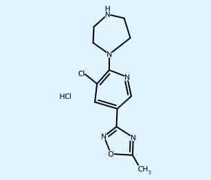 Cc1nc(-c2cnc(N3CCNCC3)c(Cl)c2)no1.Cl